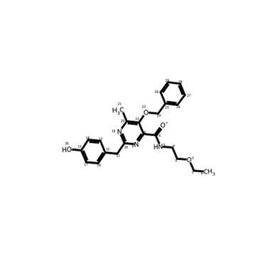 CCOCCNC(=O)c1nc(Cc2ccc(O)cc2)nc(C)c1OCc1ccccc1